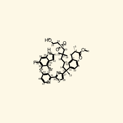 COC(=O)[C@@H](C)Cc1cccc([C@@](C)(CCCC(C)(C)CS(=O)(=O)CCO)c2csc(-c3cc(Sc4c(F)cc5[nH]ccc5c4Br)ccn3)n2)c1